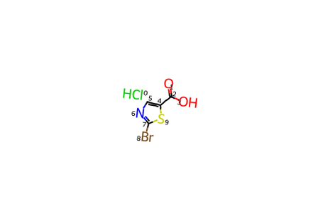 Cl.O=C(O)c1cnc(Br)s1